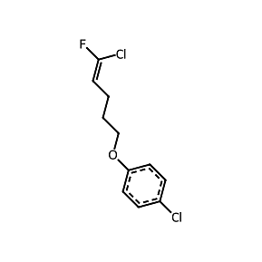 F/C(Cl)=C/CCCOc1ccc(Cl)cc1